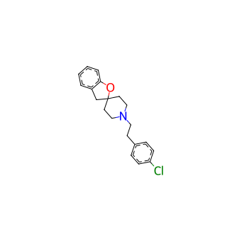 Clc1ccc(CCN2CCC3(CC2)Cc2ccccc2O3)cc1